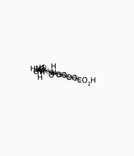 O=C(O)CCOCCOCCOCCOCCNC(=O)CCCC[C@@H]1SCC2NC(=O)N[C@@H]21